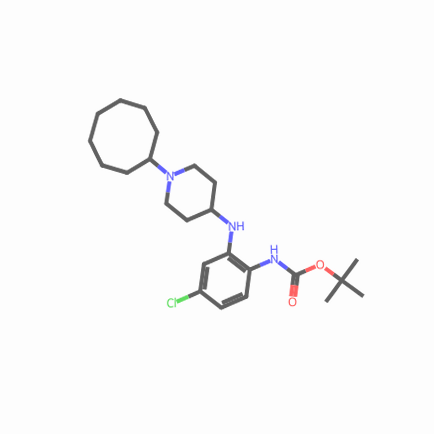 CC(C)(C)OC(=O)Nc1ccc(Cl)cc1NC1CCN(C2CCCCCCC2)CC1